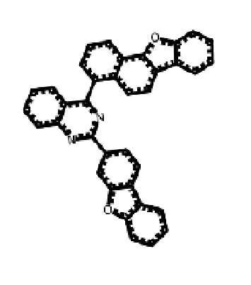 c1ccc2c(-c3cccc4c3ccc3c5ccccc5oc43)nc(-c3ccc4c(c3)oc3ccccc34)nc2c1